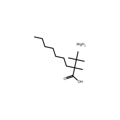 CCCCCCCC(C)(C(=O)O)C(C)(C)C.[MgH2]